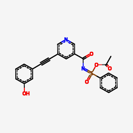 CC(=O)OS(=O)(=NC(=O)c1cncc(C#Cc2cccc(O)c2)c1)c1ccccc1